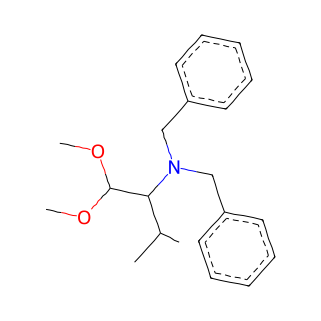 COC(OC)C(C(C)C)N(Cc1ccccc1)Cc1ccccc1